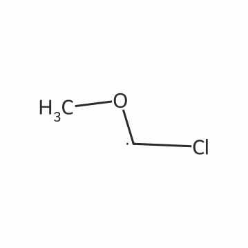 CO[CH]Cl